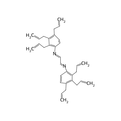 C=CCc1ccc(/N=C/C=N/c2ccc(CC=C)c(CC=C)c2CC=C)c(CC=C)c1CC=C